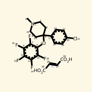 CN1CCC(Oc2c(F)c(F)c(F)c(F)c2F)(c2ccc(Cl)cc2)CC1.O=C(O)/C=C/C(=O)O